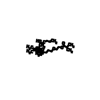 C=C(C)C(=O)OCCOCCC[SiH](C)O[Si](C)(C)O[Si](C)(C)C.C=CCC(=O)O